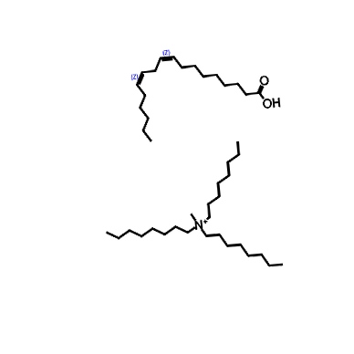 CCCCC/C=C\C/C=C\CCCCCCCC(=O)O.CCCCCCCC[N+](C)(CCCCCCCC)CCCCCCCC